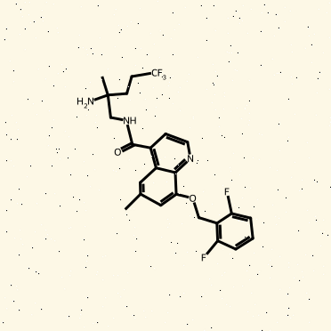 Cc1cc(OCc2c(F)cccc2F)c2nccc(C(=O)NCC(C)(N)CCC(F)(F)F)c2c1